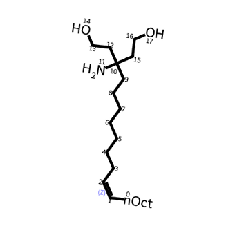 CCCCCCCC/C=C\CCCCCCCC(N)(CCO)CCO